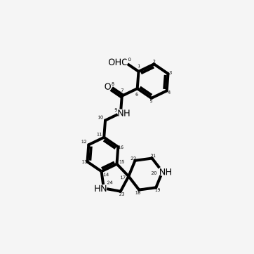 O=Cc1ccccc1C(=O)NCc1ccc2c(c1)C1(CCNCC1)CN2